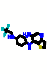 Nc1cnc2ccsc2c1NC1CCC(NCC(F)(F)F)CC1